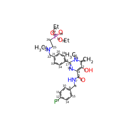 C=C1C(O)=C(C(=O)NCc2ccc(F)cc2)N=C(c2ccc(CN(C)CCP(=O)(OCC)OCC)cc2)N1C